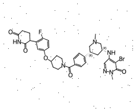 CN1C[C@H](Nc2cnn(C)c(=O)c2Br)C[C@H](c2ccc(C(=O)N3CCC(Oc4ccc(F)c(C5CCC(=O)NC5=O)c4)CC3)cc2)C1